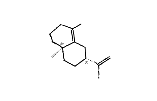 C=C(C)[C@@H]1CC[C@@]2(C)CCCC(C)=C2C1